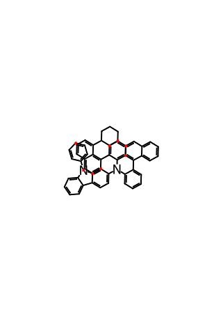 c1ccc(-n2c3ccccc3c3ccc(N(c4ccccc4-c4cccc5ccccc45)c4ccccc4-c4cccc5cccc(C6CCCCC6)c45)cc32)cc1